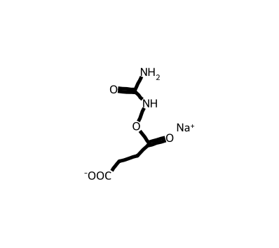 NC(=O)NOC(=O)CCC(=O)[O-].[Na+]